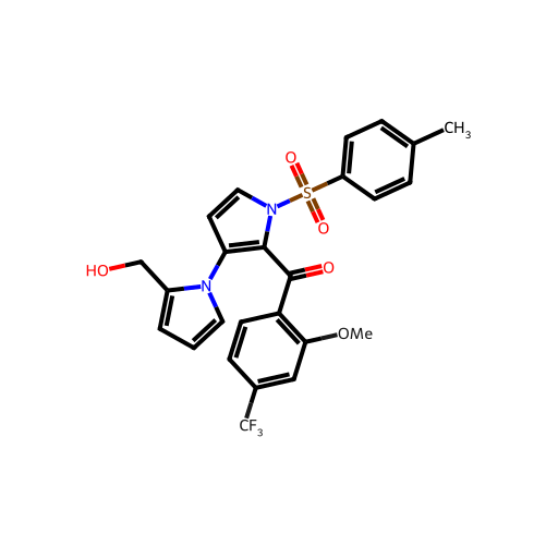 COc1cc(C(F)(F)F)ccc1C(=O)c1c(-n2cccc2CO)ccn1S(=O)(=O)c1ccc(C)cc1